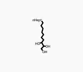 CCCCCCCCCCCCCCC(O)C(O)CO